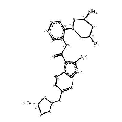 Nc1oc2c(c1C(=O)Nc1cnccc1N1C[C@@H](N)C[C@@H](C(F)(F)F)C1)NCC(CN1CC[C@H](F)C1)=C2